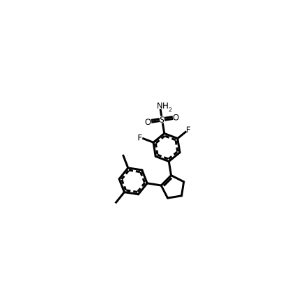 Cc1cc(C)cc(C2=C(c3cc(F)c(S(N)(=O)=O)c(F)c3)CCC2)c1